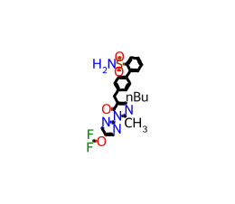 CCCCc1nc(C)n(-c2ncc(OC(F)F)cn2)c(=O)c1Cc1ccc(-c2ccccc2S(N)(=O)=O)cc1